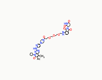 CC(=O)c1c(C)c2cnc(Nc3ccc(N4CCN(C(=O)CCOCCOCCOCCNc5cccc6c5C(=O)N(C5CCC(=O)NC5=O)C6=O)CC4)cn3)nc2n(C2CCCC2)c1=O